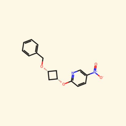 O=[N+]([O-])c1ccc(O[C@H]2C[C@@H](OCc3ccccc3)C2)nc1